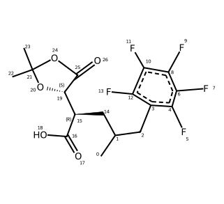 CC(Cc1c(F)c(F)c(F)c(F)c1F)C[C@@H](C(=O)O)[C@@H]1OC(C)(C)OC1=O